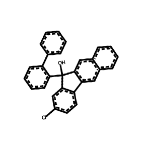 OC1(c2ccccc2-c2ccccc2)c2cc(Cl)ccc2-c2cc3ccccc3cc21